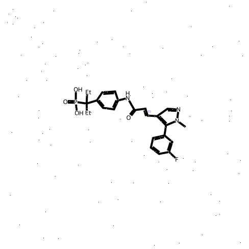 CCC(CC)(c1ccc(NC(=O)/C=C/c2cnn(C)c2-c2cccc(F)c2)cc1)P(=O)(O)O